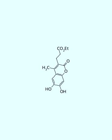 CCOC(=O)CCc1c(C)c2cc(O)c(O)cc2oc1=O